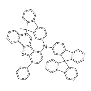 CC1(C)c2ccccc2-c2ccc(N(c3ccc4c(c3)C3(c5ccccc5-c5ccccc53)c3ccccc3-4)c3ccc(-c4ccccc4)c4sc5c6ccccc6ccc5c34)cc21